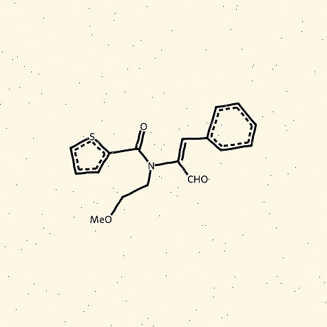 COCCN(C(=O)c1cccs1)C([C]=O)=Cc1ccccc1